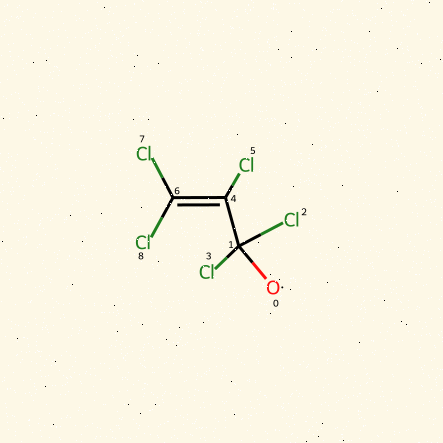 [O]C(Cl)(Cl)C(Cl)=C(Cl)Cl